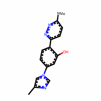 CNc1ccc(-c2ccc(-n3cnc(C)c3)cc2O)nn1